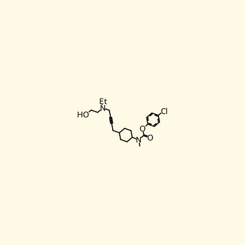 CCN(CC#CCC1CCC(N(C)C(=O)Oc2ccc(Cl)cc2)CC1)CCO